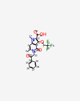 Cc1cc2c(c(OCC(F)(F)F)c(C(=O)O)n2C)c(=O)n1CC(=O)c1ccccc1